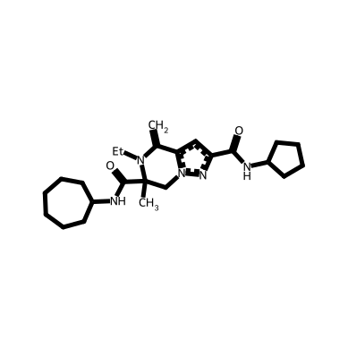 C=C1c2cc(C(=O)NC3CCCC3)nn2CC(C)(C(=O)NC2CCCCCC2)N1CC